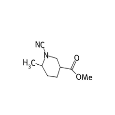 COC(=O)C1CCC(C)N(C#N)C1